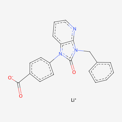 O=C([O-])c1ccc(-n2c(=O)n(Cc3ccccc3)c3ncccc32)cc1.[Li+]